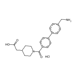 Cl.NCc1ccc(-c2ccc(C(=O)N3CCC(CC(=O)O)CC3)cc2)cc1